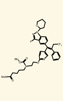 CNC(=O)CCCCN(CCOc1ccc(/C(=C(/CC(F)(F)F)c2ccccc2)c2ccc3c(c2)c(F)nn3C2CCCCO2)cn1)C(=O)OC(C)(C)C